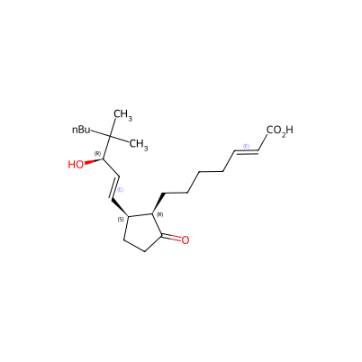 CCCCC(C)(C)[C@H](O)/C=C/[C@@H]1CCC(=O)[C@@H]1CCCC/C=C/C(=O)O